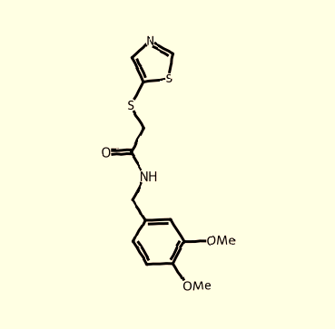 COc1ccc(CNC(=O)CSc2cncs2)cc1OC